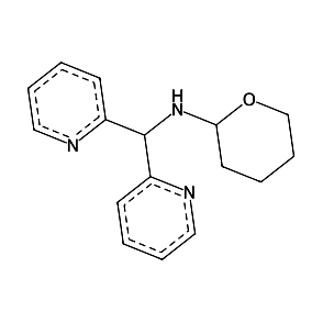 c1ccc(C(NC2CCCCO2)c2ccccn2)nc1